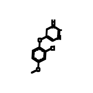 COc1ccc(OC2=CN=[C]NC2)c(Cl)c1